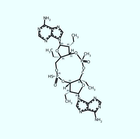 CC[C@H]1[C@H](n2cnc3c(N)ncnc32)O[C@]2(CC)CO[P@@](=O)(S)O[C@H]3[C@@H](CC)[C@H](n4cnc5c(N)ncnc54)O[C@]3(CC)COP(C)(=O)O[C@@H]12